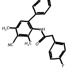 Cc1cc(-c2ccccc2)c(NC(=O)Cc2ccc(F)cc2)c(C)c1C#N